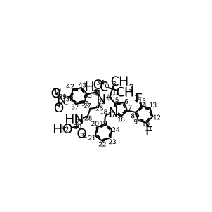 CC(C)(C)[C@H](c1cc(-c2cc(F)ccc2F)cn1Cc1ccccc1)N(CCCNC(=O)O)C(=O)c1ccc([N+](=O)[O-])cc1